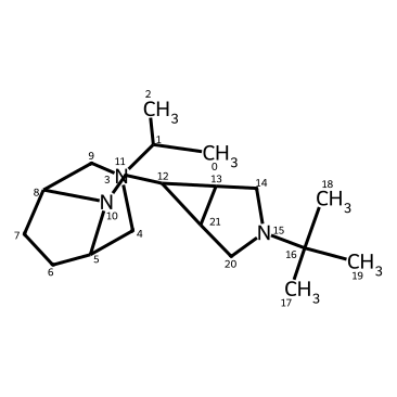 CC(C)N1CC2CCC(C1)N2CC1C2CN(C(C)(C)C)CC12